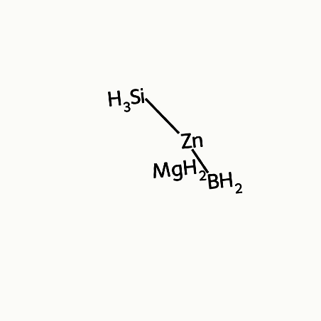 [BH2][Zn][SiH3].[MgH2]